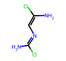 N/C(Cl)=C\N=C(/N)Cl